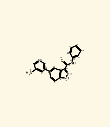 Nc1cncc(-c2ccc3[nH]nc(C(=O)Nc4ccccc4)c3c2)c1